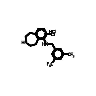 Cl.FC(F)(F)c1cc(CNc2c(Cl)ccc3c2CCNCC3)cc(C(F)(F)F)c1